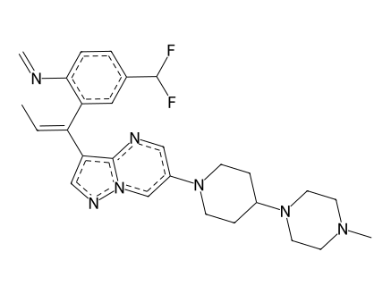 C=Nc1ccc(C(F)F)cc1/C(=C\C)c1cnn2cc(N3CCC(N4CCN(C)CC4)CC3)cnc12